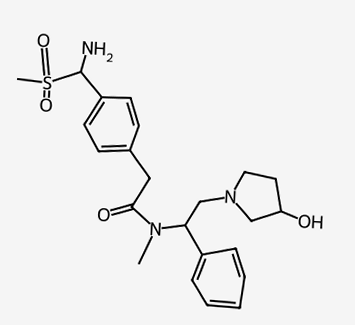 CN(C(=O)Cc1ccc(C(N)S(C)(=O)=O)cc1)C(CN1CCC(O)C1)c1ccccc1